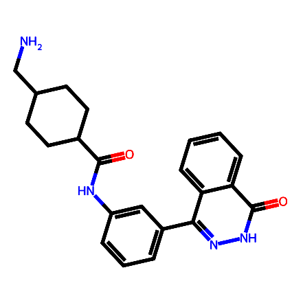 NCC1CCC(C(=O)Nc2cccc(-c3n[nH]c(=O)c4ccccc34)c2)CC1